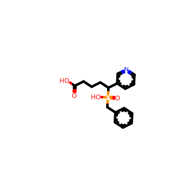 O=C(O)CCCC(c1cccnc1)P(=O)(O)Cc1ccccc1